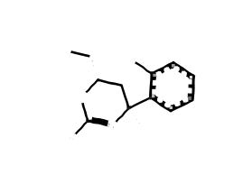 C[C@@]1(c2ccccc2F)C[C@@H](CF)OC(N)=N1